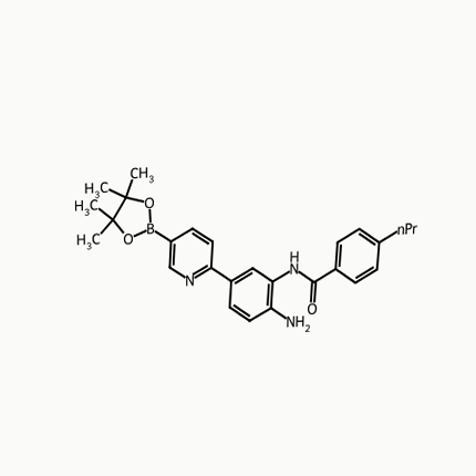 CCCc1ccc(C(=O)Nc2cc(-c3ccc(B4OC(C)(C)C(C)(C)O4)cn3)ccc2N)cc1